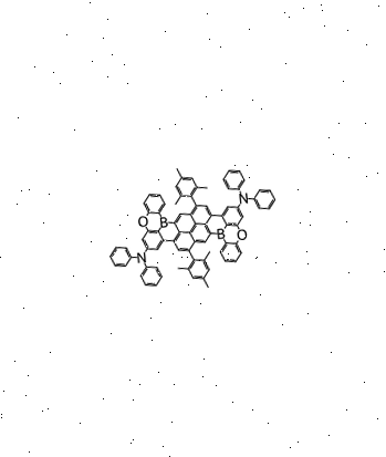 Cc1cc(C)c(-c2cc3c4c(cc5c(-c6c(C)cc(C)cc6C)cc6c7c(cc2c4c57)B2c4ccccc4Oc4cc(N(c5ccccc5)c5ccccc5)cc-6c42)B2c4ccccc4Oc4cc(N(c5ccccc5)c5ccccc5)cc-3c42)c(C)c1